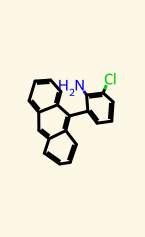 Nc1c(Cl)cccc1-c1c2ccccc2cc2ccccc12